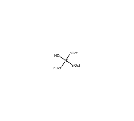 CCCCCCCC[N+](O)(CCCCCCCC)CCCCCCCC